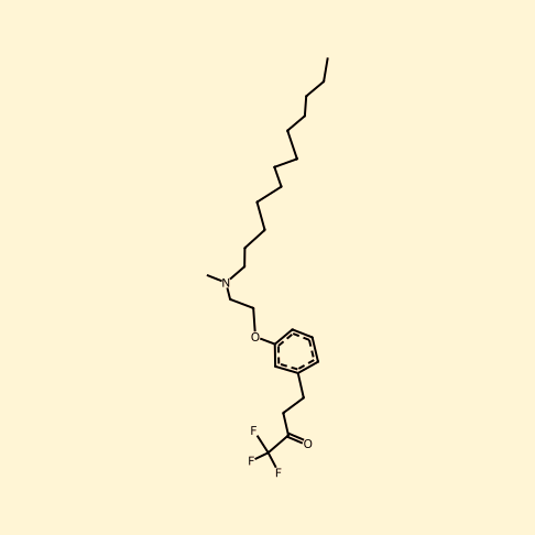 CCCCCCCCCCCCN(C)CCOc1cccc(CCC(=O)C(F)(F)F)c1